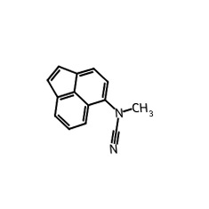 CN(C#N)c1ccc2c3c(cccc13)C=C2